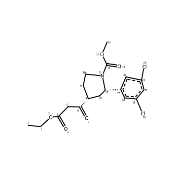 CCOC(=O)CC(=O)[C@@H]1CCN(C(=O)OC)[C@H](c2cc(Cl)cc(Cl)c2)C1